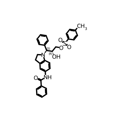 Cc1ccc(S(=O)(=O)OC[C@H](O)[C@H](c2ccccc2)N2CCc3cc(NC(=O)c4ccccc4)ccc32)cc1